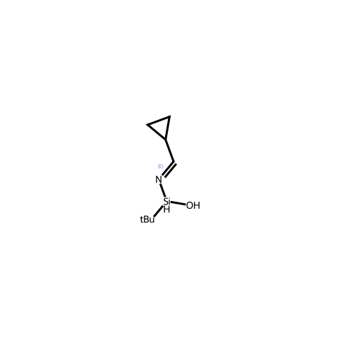 CC(C)(C)[SiH](O)/N=C/C1CC1